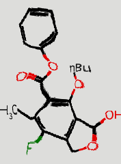 CCCCOc1c(C(=O)Oc2ccccc2)c(C)c(F)c2c1C(O)OC2